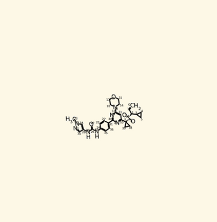 C=CC(C1CC1)S(=O)(=O)C1(c2cc(N3CCOCC3)nc(-c3ccc(NC(=O)Nc4cnn(C)c4)cc3)n2)CC1